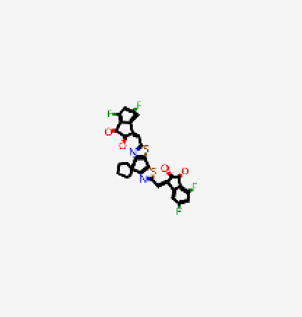 O=C1C(=O)c2c(F)cc(F)cc2/C1=C/c1nc2c(s1)-c1sc(/C=C3\C(=O)C(=O)c4c(F)cc(F)cc43)nc1C21CCCCC1